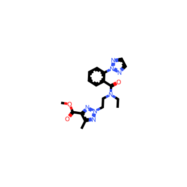 CCN(CCn1nc(C)c(C(=O)OC)n1)C(=O)c1ccccc1-n1nccn1